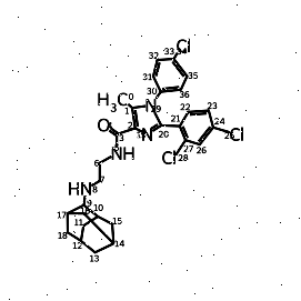 Cc1c(C(=O)NCCNC2C3CC4CC(C3)CC2C4)nc(-c2ccc(Cl)cc2Cl)n1-c1ccc(Cl)cc1